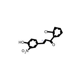 O=C(/C=C/c1ccc(O)c([N+](=O)[O-])c1)c1ccccc1Cl